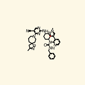 CC1=NOC2(CCCN(c3nc(N[C@H]4CC[C@H](N(C(=O)NCc5ccccc5)c5ncccc5-c5cnn(C)c5)CC4)ncc3C#N)CC2)C1